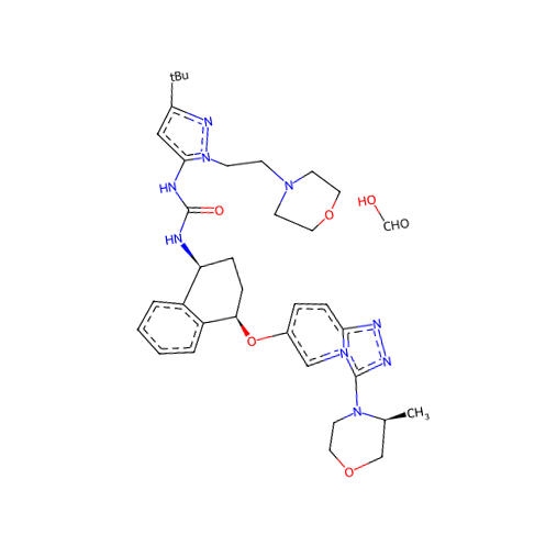 C[C@H]1COCCN1c1nnc2ccc(O[C@@H]3CC[C@H](NC(=O)Nc4cc(C(C)(C)C)nn4CCN4CCOCC4)c4ccccc43)cn12.O=CO